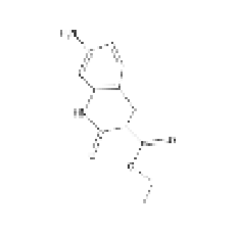 CCOC(=O)C1Cc2ccc(N)cc2NC1=O